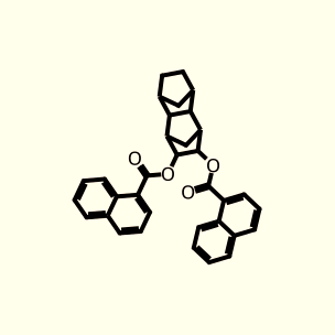 O=C(OC1C2CC(C1OC(=O)c1cccc3ccccc13)C1C3CCC(C3)C21)c1cccc2ccccc12